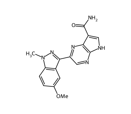 COc1ccc2c(c1)c(-c1cnc3[nH]cc(C(N)=O)c3n1)nn2C